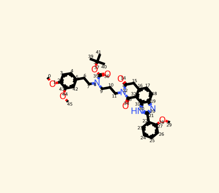 COc1ccc(CCN(CCCN2C(=O)Cc3ccc4nc(-c5ccccc5OC)[nH]c4c3C2=O)C(=O)OC(C)(C)C)cc1OC